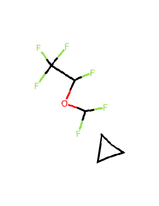 C1CC1.FC(F)OC(F)C(F)(F)F